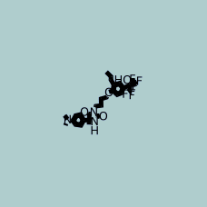 CCCc1cc(C(O)(C(F)(F)F)C(F)(F)F)ccc1OCCCCN1C(=O)NC(C)(c2ccc(N(C)C)cc2)C1=O